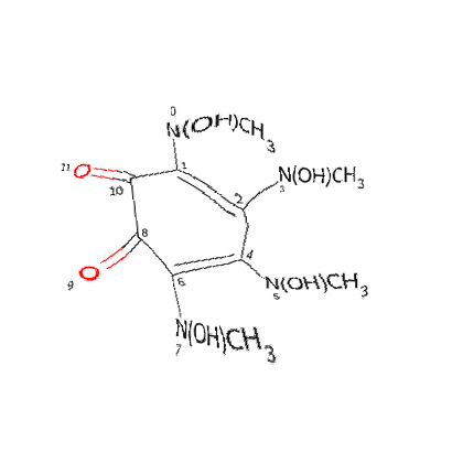 CN(O)C1=C(N(C)O)C(N(C)O)=C(N(C)O)C(=O)C1=O